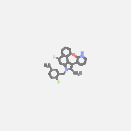 Cc1ccc(F)c(Cn2c(C(=O)O)c(-c3ccc[nH]c3=O)c3c4ccccc4c(F)cc32)c1